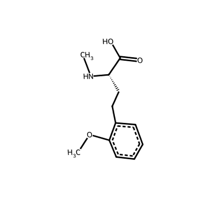 CN[C@@H](CCc1ccccc1OC)C(=O)O